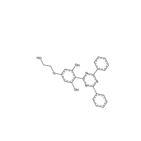 OCCOc1cc(O)c(-c2nc(-c3ccccc3)nc(-c3ccccc3)n2)c(O)c1